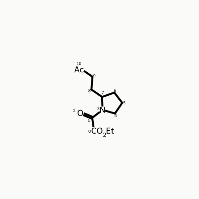 CCOC(=O)C(=O)N1CCCC1CCC(C)=O